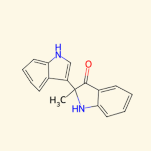 CC1(c2c[nH]c3ccccc23)Nc2ccccc2C1=O